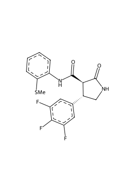 CSc1ccccc1NC(=O)[C@H]1C(=O)NC[C@@H]1c1cc(F)c(F)c(F)c1